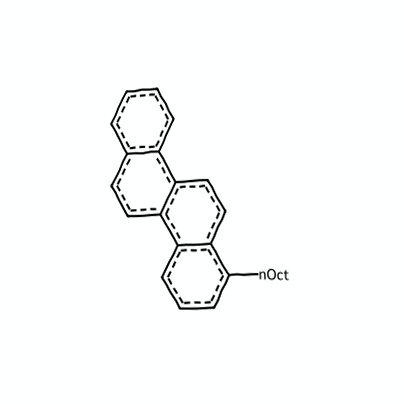 CCCCCCCCc1cccc2c1ccc1c3ccccc3ccc21